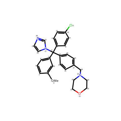 COc1cccc(C(c2ccc(Cl)cc2)(c2ccc(CN3CCOCC3)cc2)n2ccnc2)c1